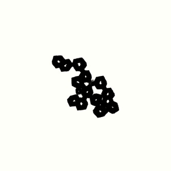 c1ccc(C2(c3ccccc3)c3ccccc3-c3ccc(-c4cccc(N(c5ccc(-c6cccc(-c7ccc8ccccc8c7)c6)cc5)c5ccc(-c6cccc7ccccc67)c6oc7ccccc7c56)c4)cc32)cc1